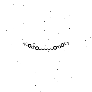 N#Cc1ccc(OCc2ccc(CCCCCCCCCc3ccc(C(=O)Oc4ccc(C#N)cc4)cc3)cc2)cc1